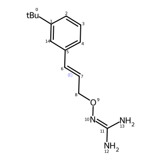 CC(C)(C)c1cccc(/C=C/CON=C(N)N)c1